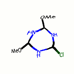 COC1NC(Cl)NC(OC)N1